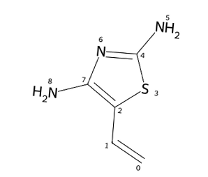 C=Cc1sc(N)nc1N